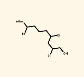 CCCCCCC(CC)CCCC(CC)CC(CC)CO